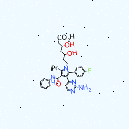 CC(C)c1c(C(=O)Nc2ccccc2)c(-c2ccnc(N)n2)c(-c2ccc(F)cc2)n1CCC(O)CC(O)CC(=O)O